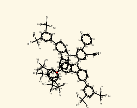 N#Cc1cc(-n2c3ccc(-c4cc(C(F)(F)F)cc(C(F)(F)F)c4)cc3c3cc(-c4cc(C(F)(F)F)cc(C(F)(F)F)c4)ccc32)c(-n2c3ccc(-c4cc(C(F)(F)F)cc(C(F)(F)F)c4)cc3c3cc(-c4cc(C(F)(F)F)cc(C(F)(F)F)c4)ccc32)cc1-c1cccnc1